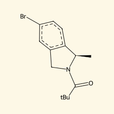 C[C@@H]1c2ccc(Br)cc2CN1C(=O)C(C)(C)C